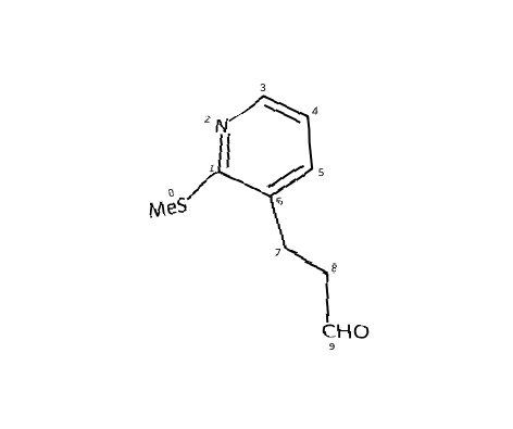 CSc1ncccc1CCC=O